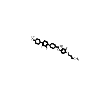 C=CCCOc1ccc(OC(=O)C2CCC(c3ccc(C4CCC(OCC)CC4)c(F)c3F)CC2)c(F)c1F